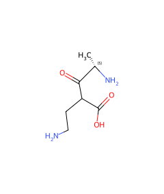 C[C@H](N)C(=O)C(CCN)C(=O)O